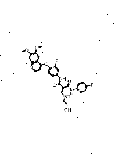 COc1cc2nccc(Oc3ccc(NC(=O)/C(=C/NCCO)C(=O)Nc4ccc(F)cc4)cc3F)c2cc1OC